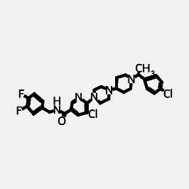 CC(c1ccc(Cl)cc1)N1CCC(N2CCN(c3ncc(C(=O)NCc4ccc(F)c(F)c4)cc3Cl)CC2)CC1